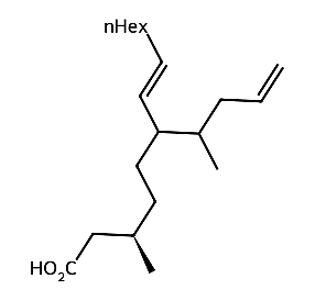 C=CCC(C)C(C=CCCCCCC)CC[C@@H](C)CC(=O)O